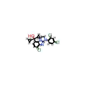 OC(c1ccc(Cl)c2nc3n(c12)CCN3c1ccc(Cl)cc1Cl)(C1CC1)C1CC1